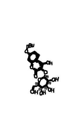 CCCCOc1ccc2c(O)c(O[C@H]3O[C@H](CO)[C@@H](O)[C@H](O)[C@@H]3O)c(=O)oc2c1